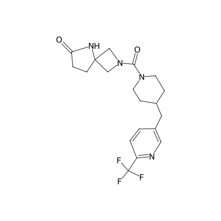 O=C1CCC2(CN(C(=O)N3CCC(Cc4ccc(C(F)(F)F)nc4)CC3)C2)N1